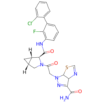 NC(=O)C1=NN(CC(=O)N2C[C@@H]3C[C@@H]3[C@H]2C(=O)Nc2cccc(-c3ccccc3Cl)c2F)C2SC=NC12